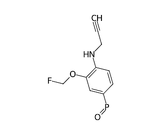 C#CCNc1ccc(P=O)cc1OCF